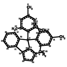 Cc1cc(C)c([B-]2(c3c(C)cc(C)cc3C)c3ccccc3-n3ccn(C)[c+]32)c(C)c1